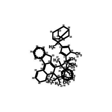 [CH2]=[Zr]([CH3])([C]1=CC(C2(C)C3CC4CC(C3)CC2C4)=CC1C)([c]1ccccc1)[C]1(C)C2=C3Cc4ccccc4C3=C3C=CCCC3C2(C)C(C)(C)C(C)(C)C1(C)C